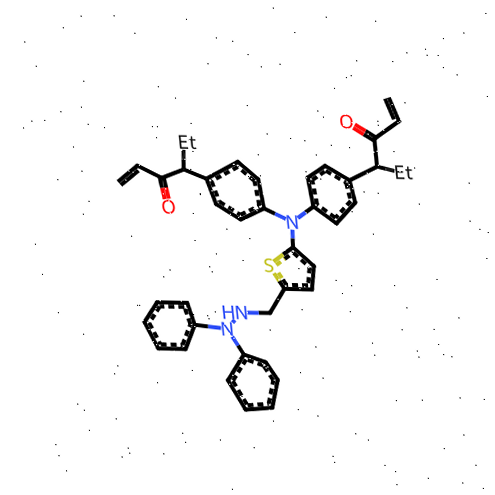 C=CC(=O)C(CC)c1ccc(N(c2ccc(C(CC)C(=O)C=C)cc2)c2ccc(CNN(c3ccccc3)c3ccccc3)s2)cc1